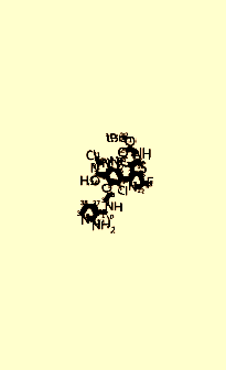 C[C@@H](NCCOc1c(Cl)c(-c2ncc(F)c3sc(NC(=O)OC(C)(C)C)c(C#N)c23)c(F)c2nc(Cl)nc(O)c12)c1cccnc1N